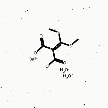 CSC(SC)=C(C(=O)[O-])C(=O)[O-].O.O.[Ba+2]